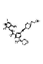 CCN(c1cc(C#CC2CCN(CCO)CC2)cc(C(=O)NCc2c(C(C)C)cc(C)[nH]c2=O)c1C)C1CCOCC1